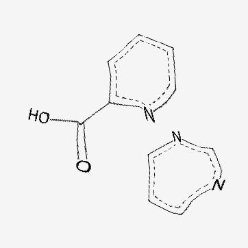 O=C(O)c1ccccn1.c1cncnc1